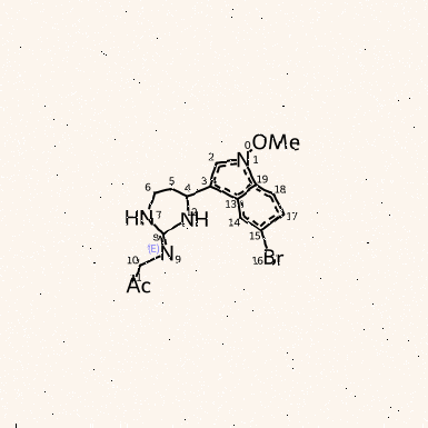 COn1cc(C2CCN/C(=N\CC(C)=O)N2)c2cc(Br)ccc21